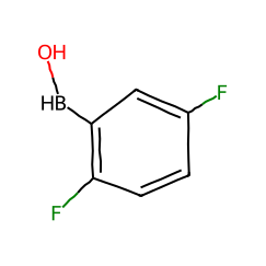 OBc1cc(F)ccc1F